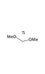 CO[CH]OC.[Ti]